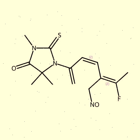 C=C(/C=C\C(CN=O)=C(/C)F)N1C(=S)N(C)C(=O)C1(C)C